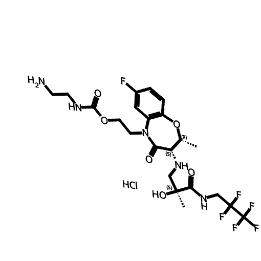 C[C@H]1Oc2ccc(F)cc2N(CCOC(=O)NCCN)C(=O)[C@H]1NC[C@](C)(O)C(=O)NCC(F)(F)C(F)(F)F.Cl